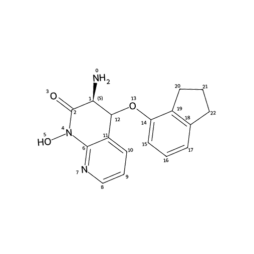 N[C@@H]1C(=O)N(O)c2ncccc2C1Oc1cccc2c1CCC2